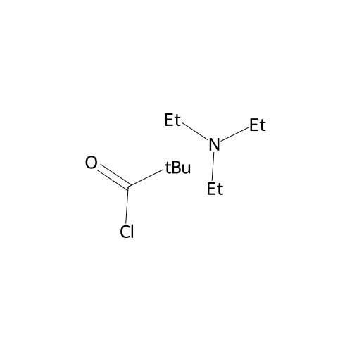 CC(C)(C)C(=O)Cl.CCN(CC)CC